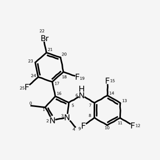 Cc1nn(C)c(Nc2c(F)cc(F)cc2F)c1-c1c(F)cc(Br)cc1F